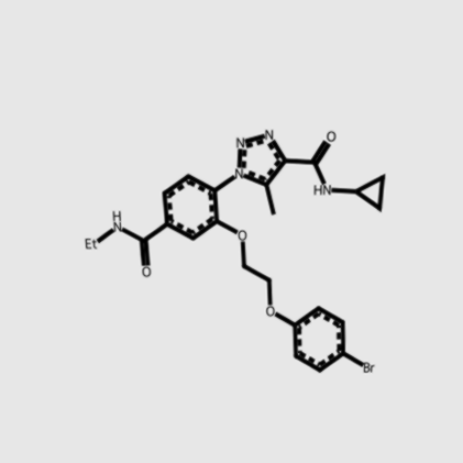 CCNC(=O)c1ccc(-n2nnc(C(=O)NC3CC3)c2C)c(OCCOc2ccc(Br)cc2)c1